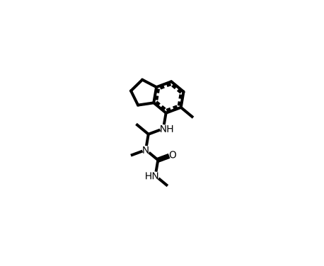 CNC(=O)N(C)C(C)Nc1c(C)ccc2c1CCC2